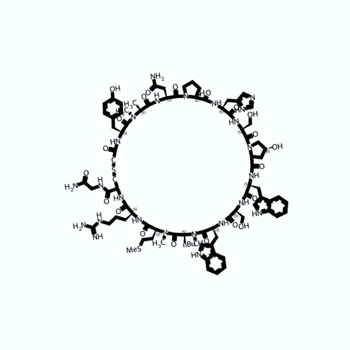 CCCC[C@H]1C(=O)N(C)[C@@H](CCSC)C(=O)N[C@@H](CCCNC(=N)N)C(=O)NC(C(=O)NCC(N)=O)CSCC(=O)N[C@@H](Cc2ccc(O)cc2)C(=O)N(C)[C@@H](C)C(=O)N[C@@H](CC(N)=O)C(=O)N2CCC[C@H]2C(=O)N[C@@H](Cc2cnc[nH]2)C(=O)N[C@@H](CO)C(=O)N2C[C@H](O)CC2C(=O)N[C@@H](Cc2c[nH]c3ccccc23)C(=O)N[C@@H](CO)C(=O)N[C@@H](Cc2c[nH]c3ccccc23)C(=O)N1C